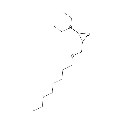 CCCCCCCCOCC1OC1N(CC)CC